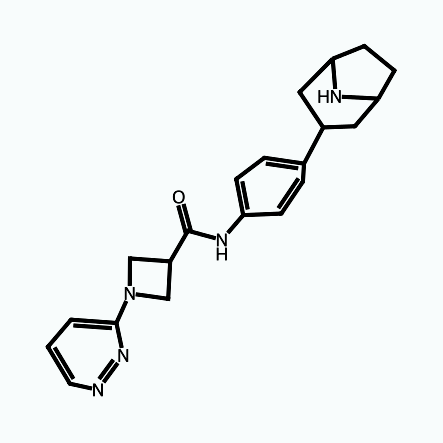 O=C(Nc1ccc(C2CC3CCC(C2)N3)cc1)C1CN(c2cccnn2)C1